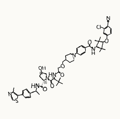 Cc1ncsc1-c1ccc(C(C)NC(=O)[C@@H]2C[C@@H](O)CN2C(=O)[C@@H](NC(=O)COCC2CCN(c3ccc(C(=O)N[C@H]4C(C)(C)[C@H](Oc5ccc(C#N)c(Cl)c5)C4(C)C)cc3)CC2)C(C)(C)C)cc1